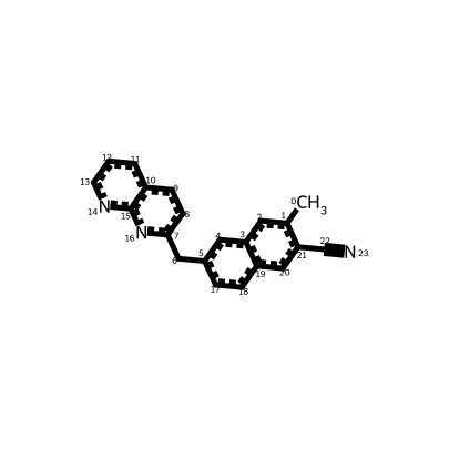 Cc1cc2cc(Cc3ccc4cccnc4n3)ccc2cc1C#N